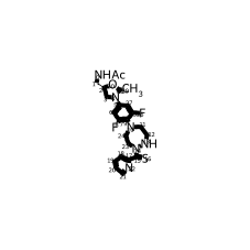 CC(=O)NC[C@H]1CN(c2cc(F)c(N3CCNN(C(=S)c4ccccn4)CC3)c(F)c2)C(C)O1